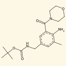 Cc1cc(CNC(=O)OC(C)(C)C)cc(C(=O)N2CCOCC2)c1N